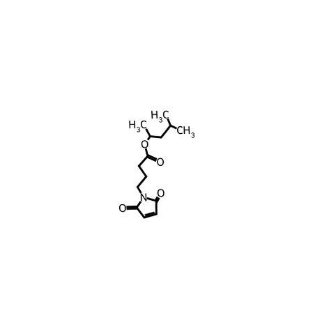 CC(C)CC(C)OC(=O)CCCN1C(=O)C=CC1=O